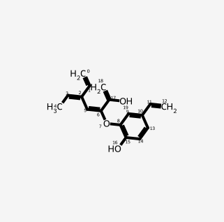 C=CC(=C/C)/C=C(/Oc1cc(C=C)ccc1O)C(=C)O